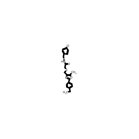 CCc1ccc(-c2nc(CSCC(=O)NCCc3ccc(Cl)cc3)c(C)o2)cc1